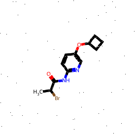 CC(Br)C(=O)Nc1ccc(OC2CCC2)cn1